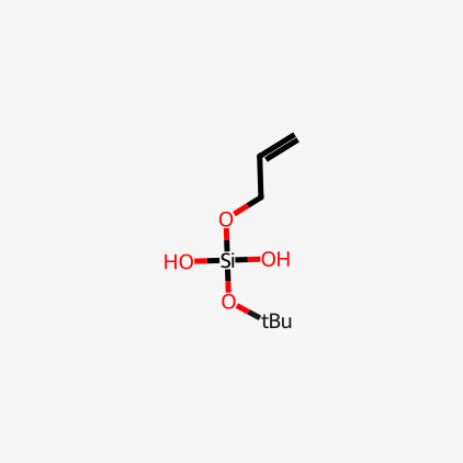 C=CCO[Si](O)(O)OC(C)(C)C